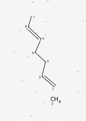 C.C=CCCC=CC